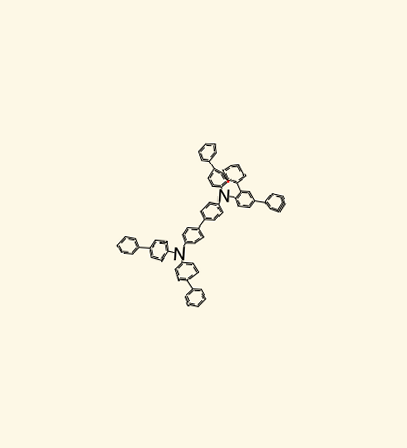 c1ccc(-c2ccc(N(c3ccc(-c4ccccc4)cc3)c3ccc(-c4ccc(N(c5ccc(-c6ccccc6)cc5)c5ccc(-c6ccccc6)cc5)cc4)cc3)c(-c3ccccc3)c2)cc#1